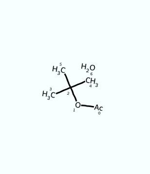 CC(=O)OC(C)(C)C.O